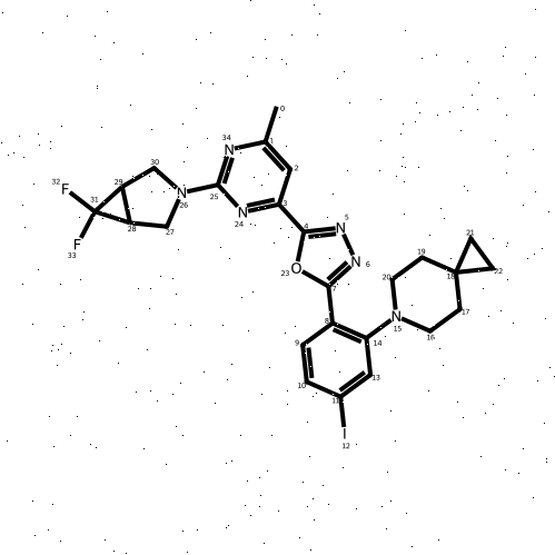 Cc1cc(-c2nnc(-c3ccc(I)cc3N3CCC4(CC3)CC4)o2)nc(N2CC3C(C2)C3(F)F)n1